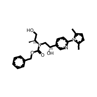 Cc1ccc(C)n1-c1ccc([C@H](O)CN(C(=O)OCc2ccccc2)[C@@H](C)CO)cn1